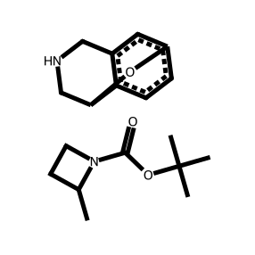 CC1CCN1C(=O)OC(C)(C)C.c1cc2c3cc1OC2CNC3